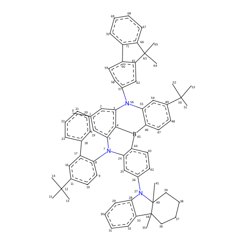 Cc1cc2c3c(c1)N(c1ccc(C(C)(C)C)cc1-c1ccccc1)c1cc(N4c5ccccc5C5(C)CCCCC45C)ccc1B3c1ccc(C(C)(C)C)cc1N2c1ccc2c(c1)C(C)(C)c1ccccc1-2